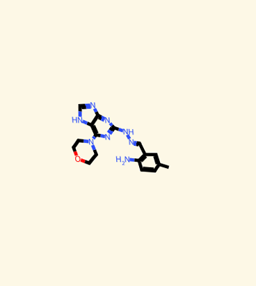 Cc1ccc(N)c(/C=N/Nc2nc(N3CCOCC3)c3[nH]cnc3n2)c1